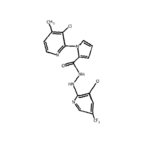 Cc1ccnc(-n2cccc2C(=O)NNc2ncc(C(F)(F)F)cc2Cl)c1Cl